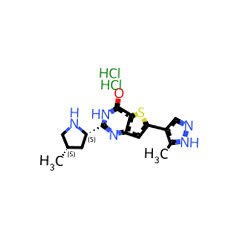 Cc1[nH]ncc1-c1cc2nc([C@@H]3C[C@H](C)CN3)[nH]c(=O)c2s1.Cl.Cl